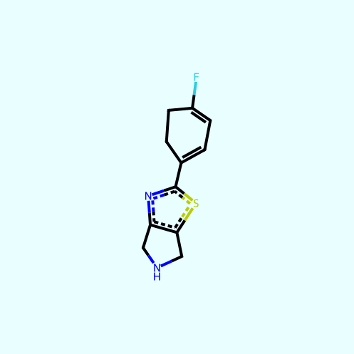 FC1=CC=C(c2nc3c(s2)CNC3)CC1